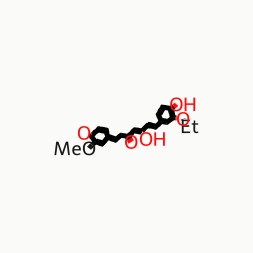 CCOc1cc(C=CC(O)=CC(=O)CC=C2C=CC(=O)C(OC)=C2)ccc1O